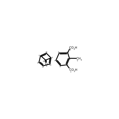 Cc1c(C(=O)O)cccc1C(=O)O.O=C1c2cccc1c2